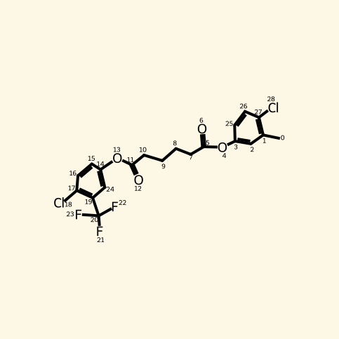 Cc1cc(OC(=O)CCCCC(=O)Oc2ccc(Cl)c(C(F)(F)F)c2)ccc1Cl